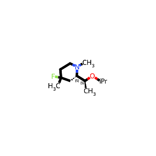 CC(C)O[C@@H](C)[C@@H]1CC(C)(F)CCN1C